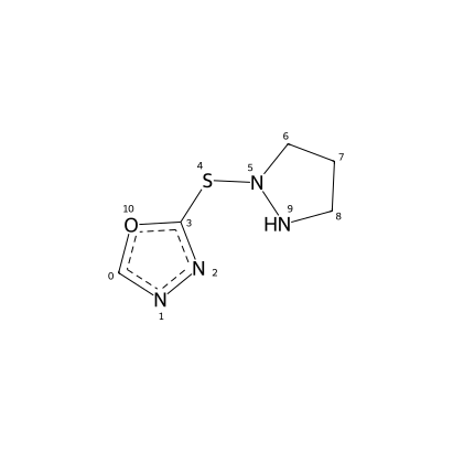 c1nnc(SN2CCCN2)o1